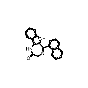 O=C1CN=C(c2cccc3ccccc23)c2[nH]c3ccccc3c2N1